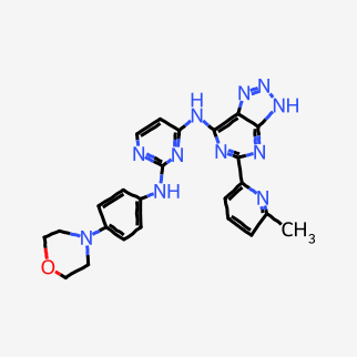 Cc1cccc(-c2nc(Nc3ccnc(Nc4ccc(N5CCOCC5)cc4)n3)c3nn[nH]c3n2)n1